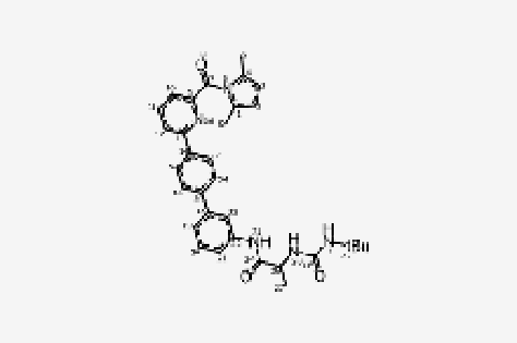 Cc1ccc(C)n1C(=O)c1cccc(-c2ccc(-c3cccc(NC(=O)C(C)NC(=O)NC(C)(C)C)c3)cc2)n1